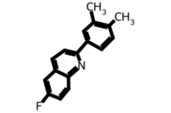 Cc1ccc(-c2ccc3cc(F)ccc3n2)cc1C